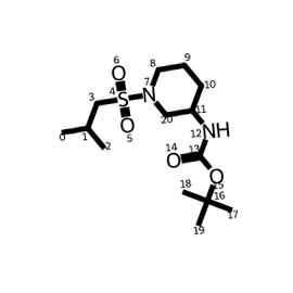 CC(C)CS(=O)(=O)N1CCCC(NC(=O)OC(C)(C)C)C1